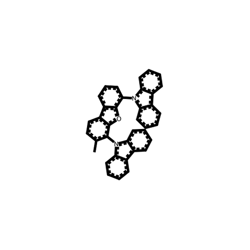 Cc1ccc2c(oc3c(-n4c5ccccc5c5ccccc54)cccc32)c1-n1c2ccccc2c2ccccc21